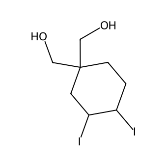 OCC1(CO)CCC(I)C(I)C1